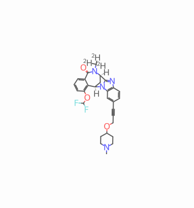 [2H]C([2H])([2H])N1C(=O)c2cccc(OC(F)F)c2[C@H]2C[C@@H]1c1nc3ccc(C#CCOC4CCN(C)CC4)cc3n12